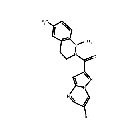 CN1c2ccc(C(F)(F)F)cc2CCN1C(=O)c1cc2ncc(Br)cn2n1